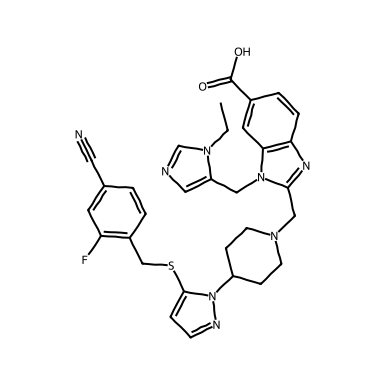 CCn1cncc1Cn1c(CN2CCC(n3nccc3SCc3ccc(C#N)cc3F)CC2)nc2ccc(C(=O)O)cc21